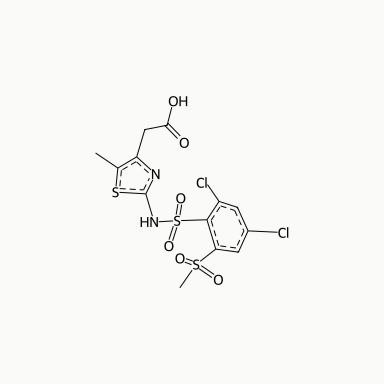 Cc1sc(NS(=O)(=O)c2c(Cl)cc(Cl)cc2S(C)(=O)=O)nc1CC(=O)O